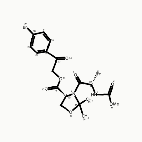 COC(=O)N[C@H](C(=O)N1[C@H](C(=O)OCC(=O)c2ccc(Br)cc2)COC1(C)C)C(C)C